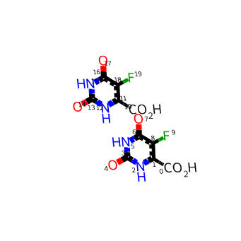 O=C(O)c1[nH]c(=O)[nH]c(=O)c1F.O=C(O)c1[nH]c(=O)[nH]c(=O)c1F